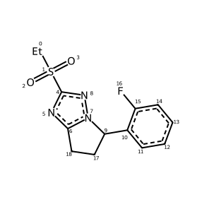 CCS(=O)(=O)c1nc2n(n1)C(c1ccccc1F)CC2